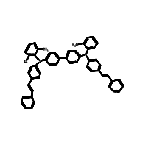 CCc1cccc(C)c1N(c1ccc(/C=C/c2ccccc2)cc1)c1ccc(-c2ccc(N(c3ccc(/C=C/c4ccccc4)cc3)c3ccccc3C)cc2)cc1